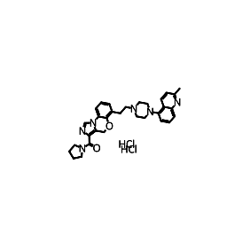 Cc1ccc2c(N3CCN(CCc4cccc5c4OCc4c(C(=O)N6CCCC6)ncn4-5)CC3)cccc2n1.Cl.Cl